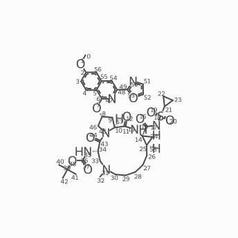 COc1ccc2c(O[C@@H]3C[C@H]4C(=O)N[C@]5(C(=O)NS(=O)(=O)C6CC6)C[C@H]5CCCCCN(C)C[C@H](NC(=O)OC(C)(C)C)C(=O)N4C3)nc(-c3ncco3)cc2c1